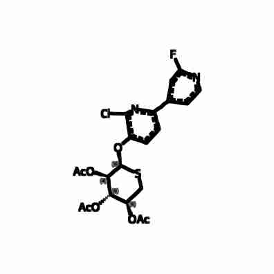 CC(=O)O[C@@H]1[C@@H](OC(C)=O)[C@@H](Oc2ccc(-c3ccnc(F)c3)nc2Cl)SC[C@H]1OC(C)=O